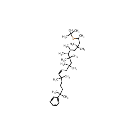 CC(CC(C)(C)CC(C)C(C)C(C)(C)CC(C)(C)C/C=C\C(C)(C)CCCC(C)(C)c1ccccc1)SC(C)(C)C